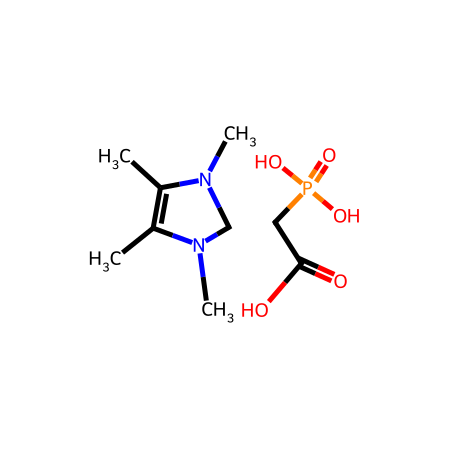 CC1=C(C)N(C)CN1C.O=C(O)CP(=O)(O)O